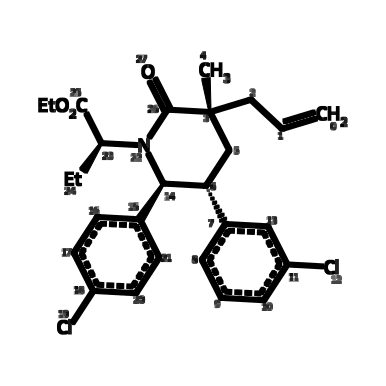 C=CC[C@]1(C)C[C@H](c2cccc(Cl)c2)[C@@H](c2ccc(Cl)cc2)N([C@@H](CC)C(=O)OCC)C1=O